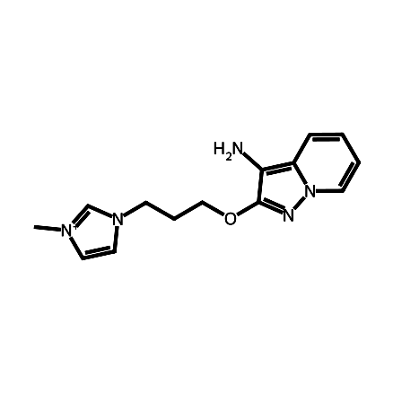 C[n+]1ccn(CCCOc2nn3ccccc3c2N)c1